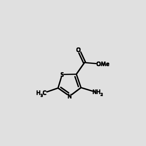 COC(=O)c1sc(C)nc1N